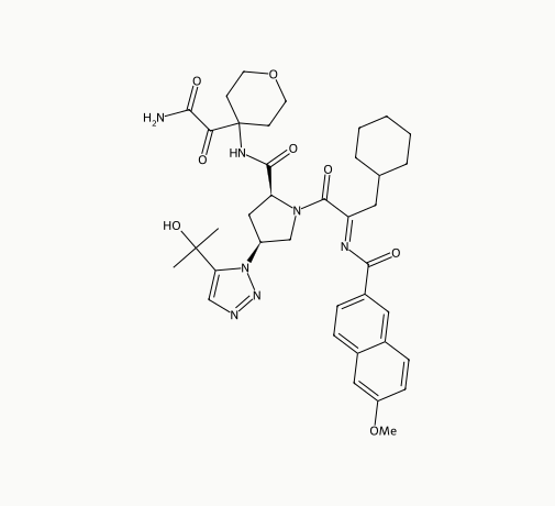 COc1ccc2cc(C(=O)/N=C(\CC3CCCCC3)C(=O)N3C[C@@H](n4nncc4C(C)(C)O)C[C@H]3C(=O)NC3(C(=O)C(N)=O)CCOCC3)ccc2c1